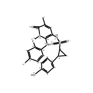 Cc1cc(NS(=O)(=O)C2CC2c2ccc(O)cc2)c(Nc2ccc(I)cc2F)n(C)c1=O